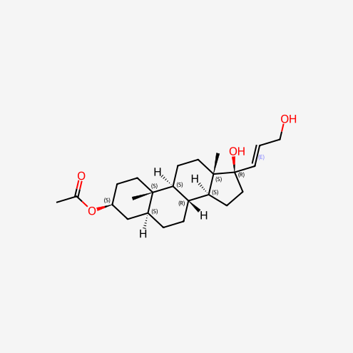 CC(=O)O[C@H]1CC[C@@]2(C)[C@@H](CC[C@@H]3[C@@H]2CC[C@@]2(C)[C@H]3CC[C@@]2(O)/C=C/CO)C1